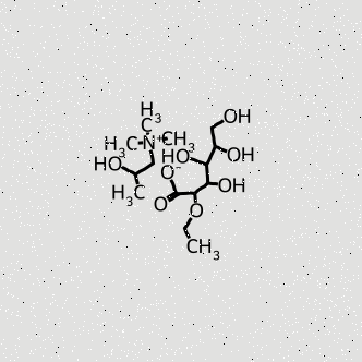 CC(O)C[N+](C)(C)C.CCOC(C(=O)[O-])C(O)C(O)C(O)CO